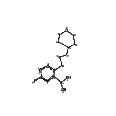 OB(O)c1cc(F)ccc1COCC1CCOCC1